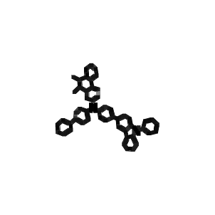 Cc1c(C)c2cc(N(c3ccc(-c4ccccc4)cc3)c3ccc(-c4ccc5c(c4)c4ccccc4n5-c4ccccc4)cc3)ccc2c2ccccc12